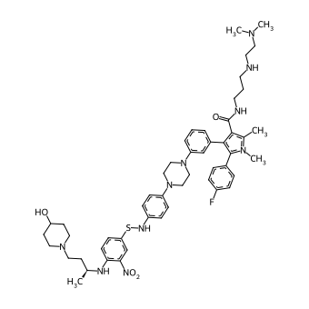 Cc1c(C(=O)NCCCNCCN(C)C)c(-c2cccc(N3CCN(c4ccc(NSc5ccc(N[C@@H](C)CCN6CCC(O)CC6)c([N+](=O)[O-])c5)cc4)CC3)c2)c(-c2ccc(F)cc2)n1C